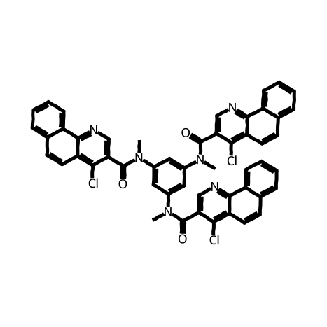 CN(C(=O)c1cnc2c(ccc3ccccc32)c1Cl)c1cc(N(C)C(=O)c2cnc3c(ccc4ccccc43)c2Cl)cc(N(C)C(=O)c2cnc3c(ccc4ccccc43)c2Cl)c1